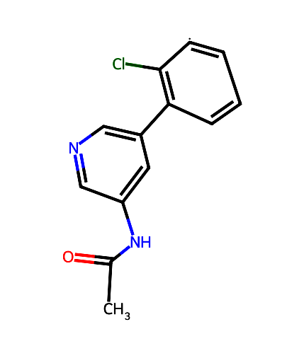 CC(=O)Nc1cncc(-c2ccc[c]c2Cl)c1